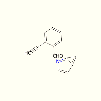 C#Cc1ccccc1C=O.c1cc2cc-2n1